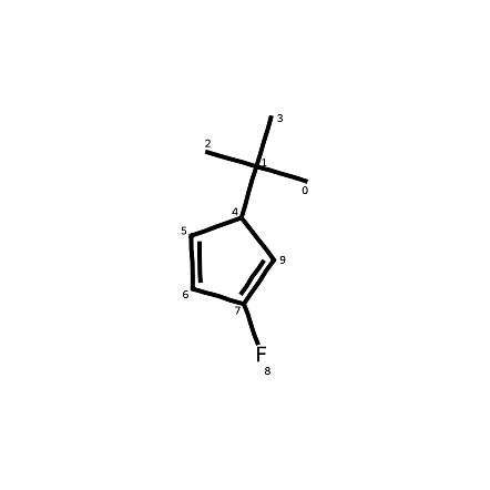 CC(C)(C)C1C=CC(F)=C1